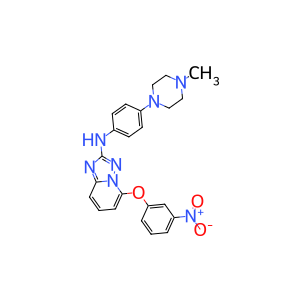 CN1CCN(c2ccc(Nc3nc4cccc(Oc5cccc([N+](=O)[O-])c5)n4n3)cc2)CC1